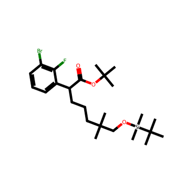 CC(C)(CCCC(C(=O)OC(C)(C)C)c1cccc(Br)c1F)CO[Si](C)(C)C(C)(C)C